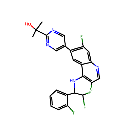 CC(C)(O)c1ncc(-c2cc3c(NC(c4ccccc4F)C(F)F)c(Cl)cnc3cc2F)cn1